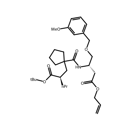 C=CCOC(=O)C[C@@H](COCc1cccc(OC)c1)NC(=O)C1(C[C@@H](CCC)C(=O)OC(C)(C)C)CCCC1